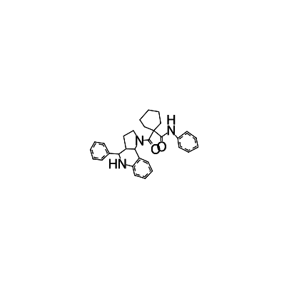 O=C(Nc1ccccc1)C1(C(=O)N2CCC3C(c4ccccc4)Nc4ccccc4C32)CCCCC1